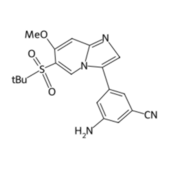 COc1cc2ncc(-c3cc(N)cc(C#N)c3)n2cc1S(=O)(=O)C(C)(C)C